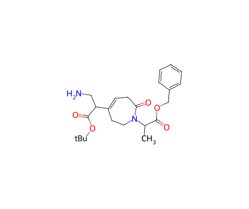 CC(C(=O)OCc1ccccc1)N1CCC(C(CN)C(=O)OC(C)(C)C)=CCC1=O